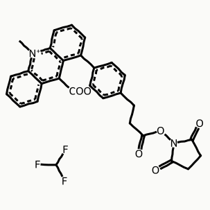 C[n+]1c2ccccc2c(C(=O)[O-])c2c(-c3ccc(CCC(=O)ON4C(=O)CCC4=O)cc3)cccc21.FC(F)F